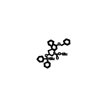 CC(C)(C)OC(=O)N1CC(O[Si](c2ccccc2)(c2ccccc2)C(C)(C)C)Cc2c1cc(OCc1ccccc1)c1ccccc21